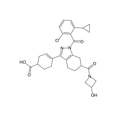 O=C(O)C1CC=C(c2nn(C(=O)c3c(Cl)cccc3C3CC3)c3c2CCC(C(=O)N2CC(O)C2)C3)CC1